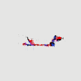 CC(=O)NCCCCC(NC(=O)C(CCCCNC(=O)OC(C)(C)C)NC(=O)CCOCCOCCOCCNC(=O)COc1ccc2c(C(=O)NCC(=O)N3CCCC3B3OC4C[C@H]5C[C@H](C5(C)C)[C@]4(C)O3)ccnc2c1)C(=O)OC(C)(C)C